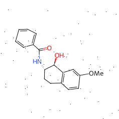 COc1ccc2c(c1)[C@H](O)[C@@H](NC(=O)c1ccccc1)CC2